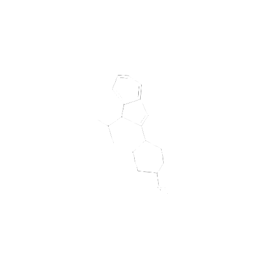 CC(C)C1C(C2CCC(N)CC2)=Cc2ccccc21